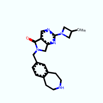 COC1CN(c2ncc3c(n2)CN(Cc2ccc4c(c2)CCNCC4)C3=O)C1